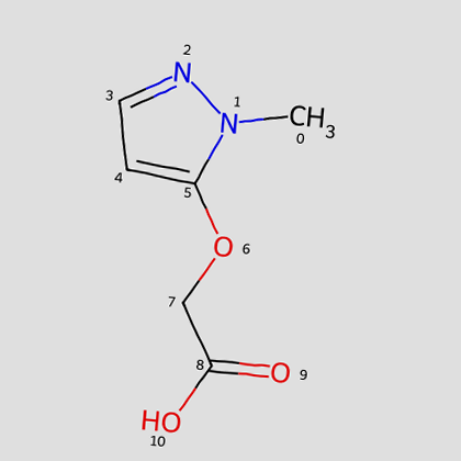 Cn1nccc1OCC(=O)O